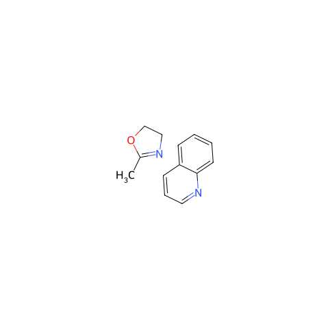 CC1=NCCO1.c1ccc2ncccc2c1